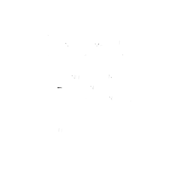 COC(=O)c1nc(Cl)ccc1N[C@H](C)c1cc(C)cc2c(=O)n(C)c(N3CCC(F)(F)CC3)nc12